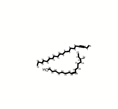 CCC#CCCCCCCCCCCCCCCCC.CC[C@@H](C)CCCC/C=C\CCCCCCCO